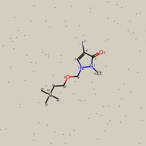 CCn1c(=O)c(I)cn1COCC[Si](C)(C)C